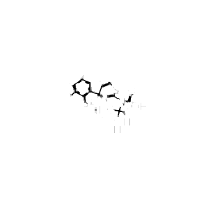 CC(C)(C)N(C(=O)O)C1=N[C@](C)(c2cccc(F)c2F)C=CS1